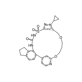 O=C1Nc2c(ccc3c2CCC3)-c2ccnc(c2)OCCCOCc2cc(nn2C2CC2)S(=O)(=O)N1